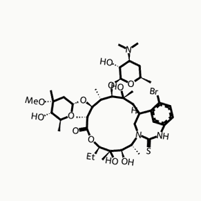 CC[C@H]1OC(=O)[C@H](C)[C@@H](O[C@H]2C[C@@](C)(OC)[C@@H](O)[C@H](C)O2)[C@H](C)[C@@H](O[C@@H]2O[C@H](C)C[C@H](N(C)C)[C@H]2O)[C@](C)(O)C[C@@H]2CN(C(=S)Nc3ccc(Br)c2c3)[C@H](C)[C@@H](O)[C@]1(C)O